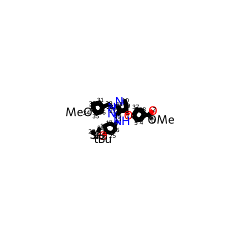 COC(=O)c1ccc(Oc2ccnc3c2c(NC2CCC(O[Si](C)(C)C(C)(C)C)CC2)nn3Cc2ccc(OC)cc2)cc1